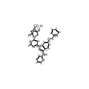 Cc1nc(N2C[C@@H]3C[C@H]2CN3C(=O)O)cc(-n2nc(Nc3cnccn3)c3ccc(OCc4ccccc4)cc32)n1